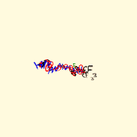 CC(CCC(=O)N(C)CCN1CCC(OC(=O)Nc2ccccc2-c2ccccc2)CC1)N(C)c1ccc(C(=O)N(C)CCCN(C)C(=O)CO[C@H]2Cc3ccccc3C23CCN(CC[C@]2(c4ccc(F)cc4)CN(C(=O)c4cc(C(F)(F)F)cc(C(F)(F)F)c4)CO2)CC3)cc1